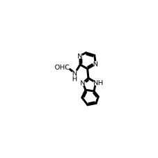 O=CNc1nccnc1-c1nc2ccccc2[nH]1